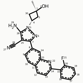 C[C@]1(O)C[C@H](n2nc(-c3ccc4ccc(-c5ccccc5F)nc4c3)c(C#N)c2N)C1